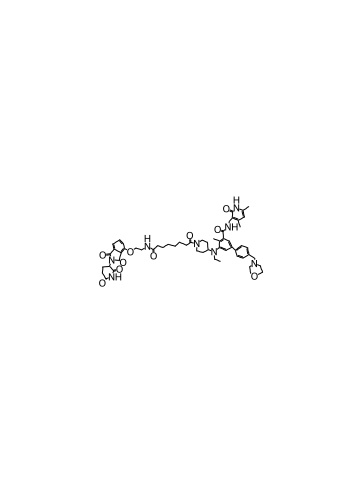 CCN(c1cc(-c2ccc(CN3CCOCC3)cc2)cc(C(=O)NCc2c(C)cc(C)[nH]c2=O)c1C)C1CCN(C(=O)CCCCCCC(=O)NCCOc2cccc3c2C(=O)N(C2CCC(=O)NC2=O)C3=O)CC1